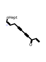 C=CC(=O)C#CC#CC/C=C\CCCCCCC